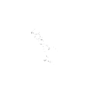 CC(C)(C)OC(=O)N[C@@H](CCCNC(=N)N)C(=O)Nc1ccc([N+](=O)[O-])cc1